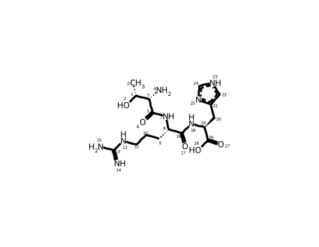 C[C@@H](O)[C@H](N)C(=O)N[C@@H](CCCNC(=N)N)C(=O)N[C@@H](Cc1c[nH]cn1)C(=O)O